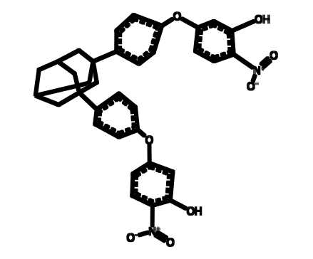 O=[N+]([O-])c1ccc(Oc2ccc(C34CC5CC(C3)CC(c3ccc(Oc6ccc([N+](=O)[O-])c(O)c6)cc3)(C5)C4)cc2)cc1O